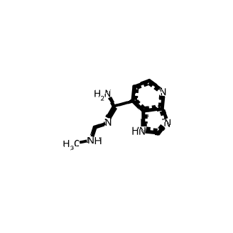 CNCN=C(N)c1ccnc2nc[nH]c12